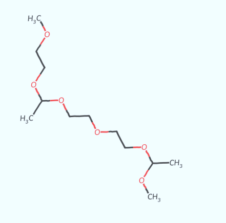 COCCOC(C)OCCOCCOC(C)OC